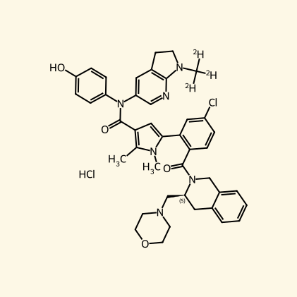 Cl.[2H]C([2H])([2H])N1CCc2cc(N(C(=O)c3cc(-c4cc(Cl)ccc4C(=O)N4Cc5ccccc5C[C@H]4CN4CCOCC4)n(C)c3C)c3ccc(O)cc3)cnc21